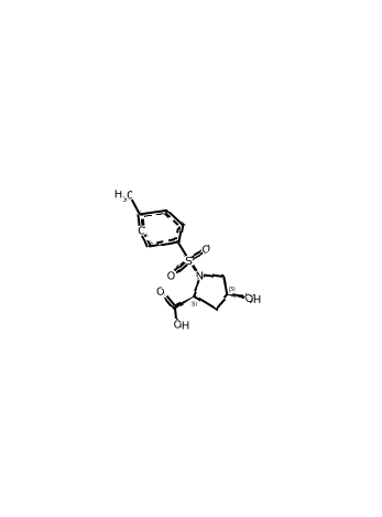 Cc1ccc(S(=O)(=O)N2C[C@@H](O)C[C@H]2C(=O)O)cc1